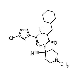 CN1CCC(C#N)(NC(=O)C(CC2CCCCC2)NC(=O)c2ccc(Cl)s2)CC1